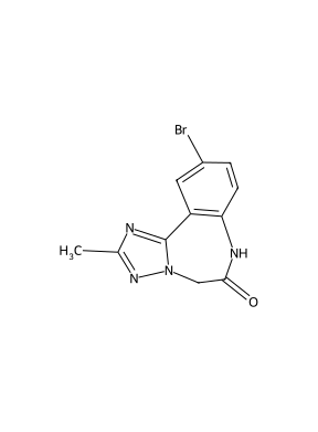 Cc1nc2n(n1)CC(=O)Nc1ccc(Br)cc1-2